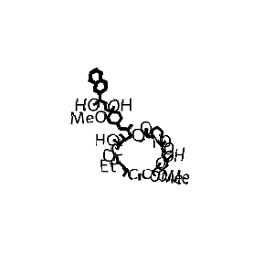 CCC1/C=C(\C)CC(C)CC(OC)C2OC(O)(C(=O)C(=O)N3CCCCC3C(=O)OC(C(C)=CC3CCC(O)(CCC(O)c4ccc5ccccc5c4)C(OC)C3)C(C)C(O)CC1=O)C(C)CC2OC